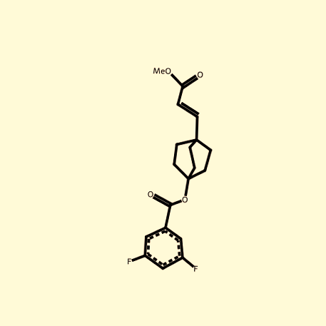 COC(=O)/C=C/C12CCC(OC(=O)c3cc(F)cc(F)c3)(CC1)CC2